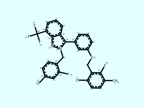 Cc1ccc(Cl)c(COc2cccc(-c3c4cccc(C(F)(F)F)c4nn3Cc3ccc(Cl)cc3F)c2)c1F